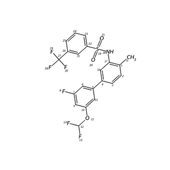 Cc1ccc(-c2cc(F)cc(OC(F)F)c2)cc1NS(=O)(=O)c1cccc(C(F)(F)F)c1